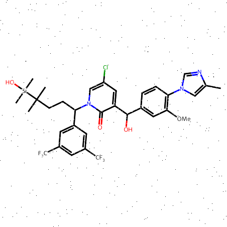 COc1cc(C(O)c2cc(Cl)cn(C(CCC(C)(C)[Si](C)(C)O)c3cc(C(F)(F)F)cc(C(F)(F)F)c3)c2=O)ccc1-n1cnc(C)c1